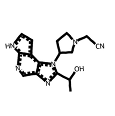 CC(O)c1nc2cnc3[nH]ccc3c2n1C1CCN(CC#N)C1